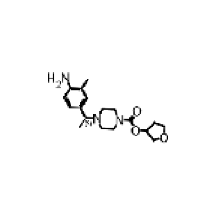 Cc1cc([C@H](C)N2CCN(C(=O)OC3CCOC3)CC2)ccc1N